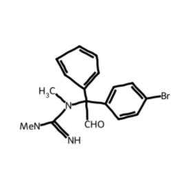 CNC(=N)N(C)C(C=O)(c1ccccc1)c1ccc(Br)cc1